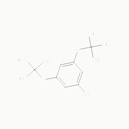 CC(C)(C)Oc1cc([O])cc(OC(C)(C)C)c1